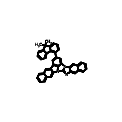 CC1(C)c2ccccc2-c2c(-c3cc4c5cc6ccccc6cc5n5c4c(c3)n3c4cc6ccccc6cc4nc35)cccc21